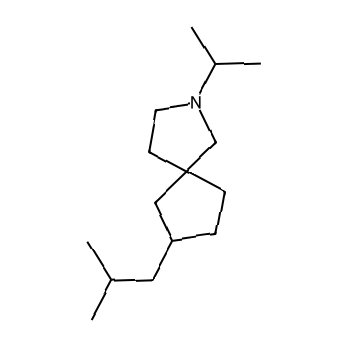 CC(C)CC1CCC2(CCN(C(C)C)C2)C1